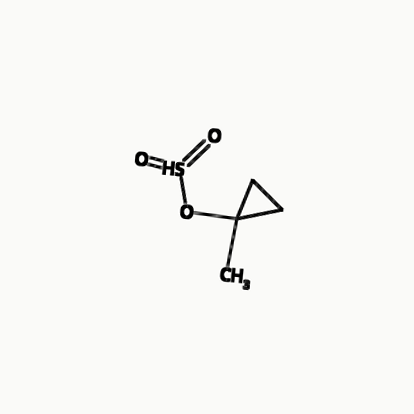 CC1(O[SH](=O)=O)CC1